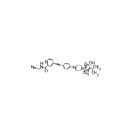 CC(C)[C@@H](NS(=O)(=O)N1CCN(c2ccc(C#Cc3ccnc(C(=O)NCC#N)c3)cc2)CC1)C(=O)O